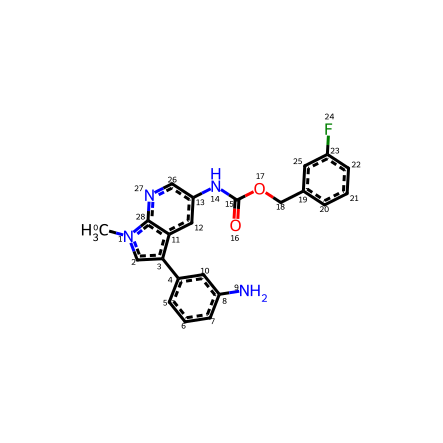 Cn1cc(-c2cccc(N)c2)c2cc(NC(=O)OCc3cccc(F)c3)cnc21